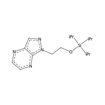 CC(C)[Si](OCCn1ncc2nccnc21)(C(C)C)C(C)C